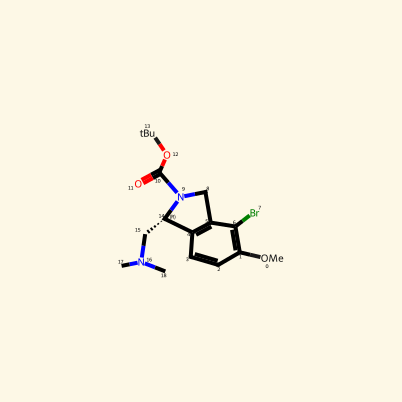 COc1ccc2c(c1Br)CN(C(=O)OC(C)(C)C)[C@H]2CN(C)C